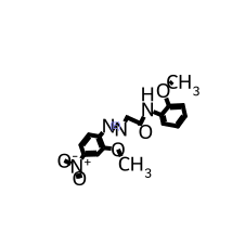 COc1cc([N+](=O)[O-])ccc1/N=N/CC(=O)Nc1ccccc1OC